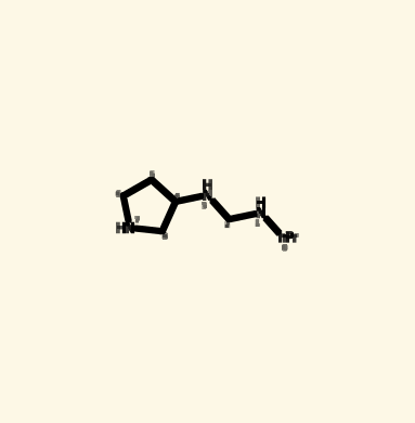 CCCNCNC1CCNC1